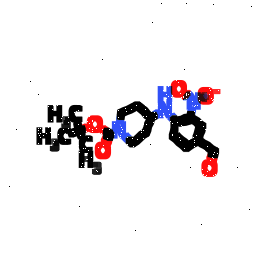 CC(C)(C)OC(=O)N1CCC(Nc2ccc(C=O)cc2[N+](=O)[O-])CC1